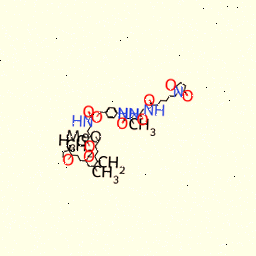 C=C1CCOC1CCC1CC(C)C(=C)C(CC(COC)OC(C)CCCNC(=O)OCc2ccc(NC(=O)C(C)NC(=O)CNC(=O)CCCCCN3C(=O)CCC3=O)cc2)O1